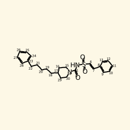 O=C(NS(=O)(=O)C=Cc1ccccc1)N1CCC(CCCCCc2ccccc2)CC1